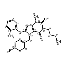 Cc1ccccc1Oc1nc2c(c(=O)n(CCCO)c(=O)n2C)n1CC1=CC=C(F)CC1